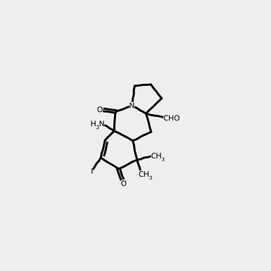 CC1(C)C(=O)C(I)=CC2(N)C(=O)N3CCCC3(C=O)CC12